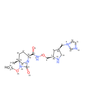 O=C(NOC[C@H]1C[C@@H](Cn2ccnc2)CN1)[C@@H]1CC[C@@H]2CN1C(=O)N2OS(=O)(=O)O